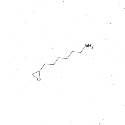 [SiH3]CCCCCCC1CO1